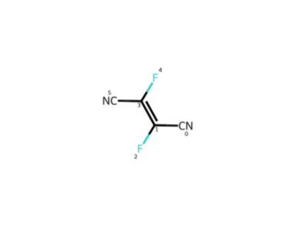 N#CC(F)=C(F)C#N